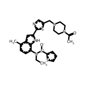 CCN(c1ccc(C)c2cc(-c3ncc(CN4CCN(C(C)=O)CC4)s3)[nH]c12)[S+]([O-])c1cccs1